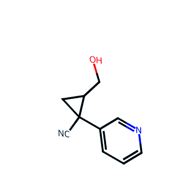 N#CC1(c2cccnc2)CC1CO